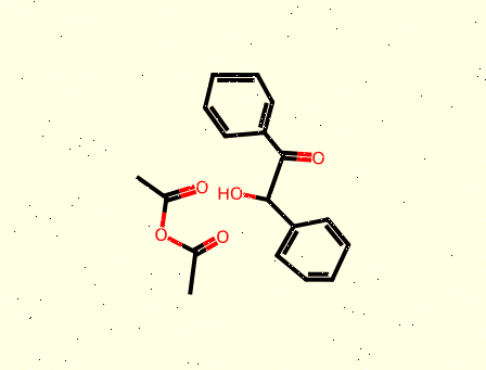 CC(=O)OC(C)=O.O=C(c1ccccc1)C(O)c1ccccc1